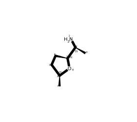 C[C@H](N)[C@@H]1CC[C@H](C)O1